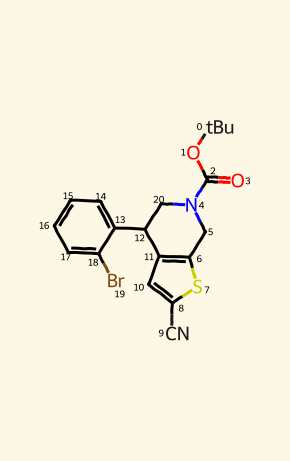 CC(C)(C)OC(=O)N1Cc2sc(C#N)cc2C(c2ccccc2Br)C1